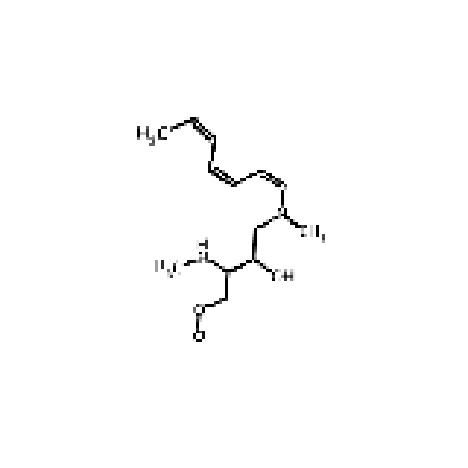 C\C=C/C=C\C=C/N(C)CC(O)C(COCl)NC